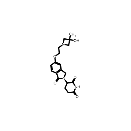 CC1(O)CN(CCOc2ccc3c(c2)CN(C2CCC(=O)NC2=O)C3=O)C1